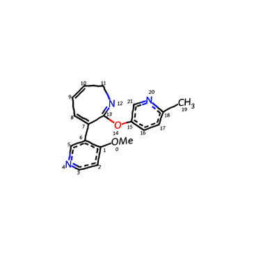 COc1ccncc1C1=CC=CCN=C1Oc1ccc(C)nc1